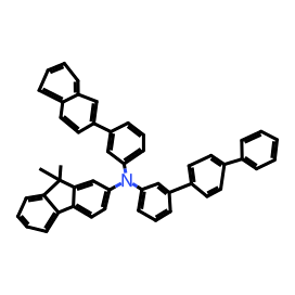 CC1(C)c2ccccc2-c2ccc(N(c3cccc(-c4ccc(-c5ccccc5)cc4)c3)c3cccc(-c4ccc5ccccc5c4)c3)cc21